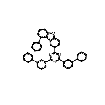 c1ccc(-c2cccc(-c3nc(-c4cccc(-c5ccccc5)c4)nc(-c4ccc5oc6cccc(-c7ccccc7)c6c5c4)n3)c2)cc1